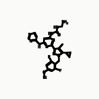 CCOc1cc(F)c(Cn2nc(-c3nc(NC(=O)NCN)cc(Nc4ccncn4)n3)c(C)c2C2CC2)c(F)c1